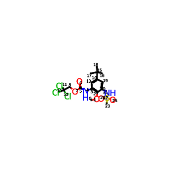 COc1c(NC(=O)OCC(Cl)(Cl)Cl)cc(C(C)(C)C)cc1NS(C)(=O)=O